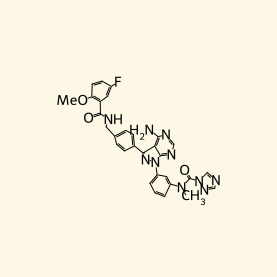 COc1ccc(F)cc1C(=O)NCc1ccc(-c2nn(-c3cccc(N(C)C(=O)n4cncn4)c3)c3ncnc(N)c23)cc1